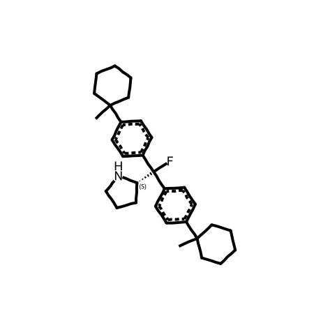 CC1(c2ccc(C(F)(c3ccc(C4(C)CCCCC4)cc3)[C@@H]3CCCN3)cc2)CCCCC1